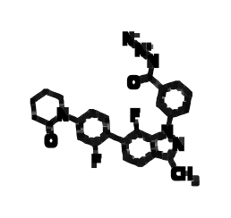 Cc1nn(-c2cccc(C(=O)N=[N+]=[N-])c2)c2c(F)c(-c3ccc(N4CCCCC4=O)cc3F)ccc12